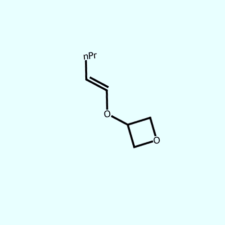 CCCC=COC1COC1